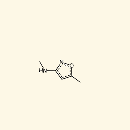 CNc1cc(C)on1